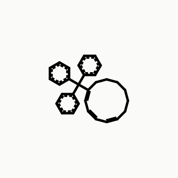 C1=CC=C(C(c2ccccc2)(c2ccccc2)c2ccccc2)CCCCCCC=C1